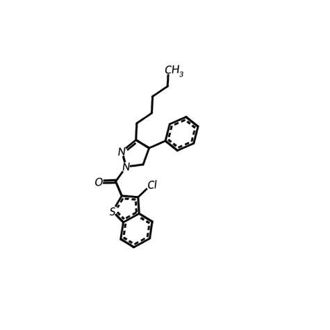 CCCCCC1=NN(C(=O)c2sc3ccccc3c2Cl)CC1c1ccccc1